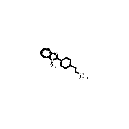 Cn1c(C2CCC(CCNC(=O)O)CC2)nc2ccccc21